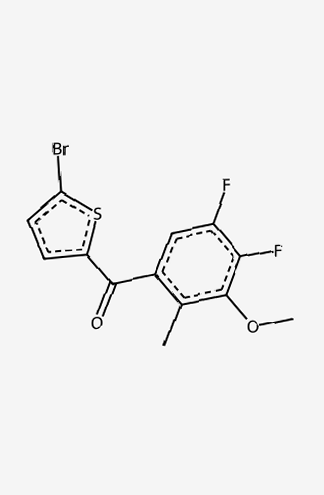 COc1c(C)c(C(=O)c2ccc(Br)s2)cc(F)c1F